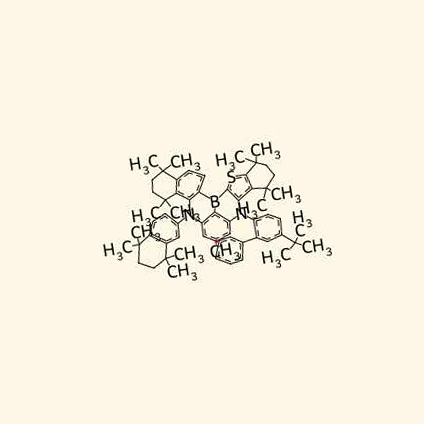 Cc1cc2c3c(c1)N(c1ccc(C(C)(C)C)cc1-c1ccccc1)c1c(sc4c1C(C)(C)CCC4(C)C)B3c1ccc3c(c1N2c1ccc2c(c1)C(C)(C)CCC2(C)C)C(C)(C)CCC3(C)C